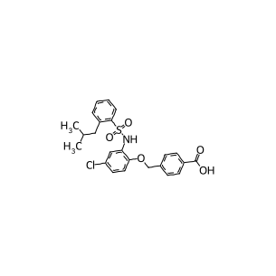 CC(C)Cc1ccccc1S(=O)(=O)Nc1cc(Cl)ccc1OCc1ccc(C(=O)O)cc1